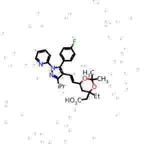 CCC1(CC(=O)O)CC(C=Cc2c(C(C)C)nn(-c3ccccn3)c2-c2ccc(F)cc2)OC(C)(C)O1